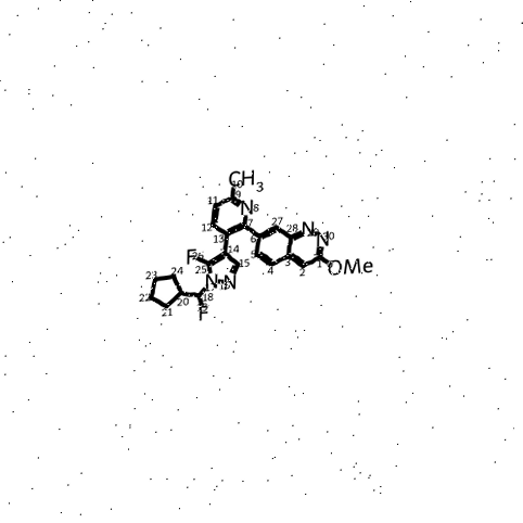 COc1cc2ccc(-c3nc(C)ccc3-c3cnn(C(F)C4CCCC4)c3F)cc2nn1